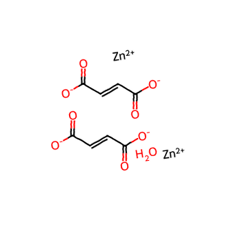 O.O=C([O-])C=CC(=O)[O-].O=C([O-])C=CC(=O)[O-].[Zn+2].[Zn+2]